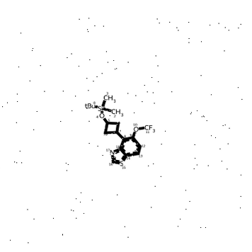 CC(C)(C)[Si](C)(C)OC1CC(c2c(OC(F)(F)F)ccc3scnc23)C1